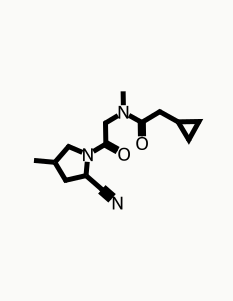 CC1CC(C#N)N(C(=O)CN(C)C(=O)CC2CC2)C1